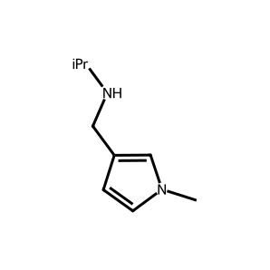 CC(C)NCc1ccn(C)c1